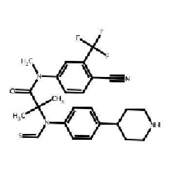 CN(C(=O)C(C)(C)N(C=S)c1ccc(C2CCNCC2)cc1)c1ccc(C#N)c(C(F)(F)F)c1